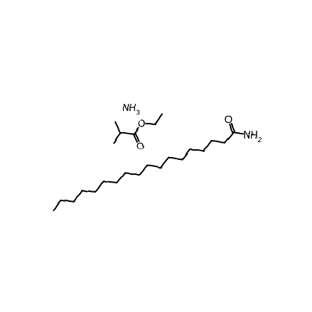 CCCCCCCCCCCCCCCCCC(N)=O.CCOC(=O)C(C)C.N